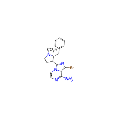 Nc1nccn2c(C3CCN(C(=O)O)C3Cc3ccccc3)nc(Br)c12